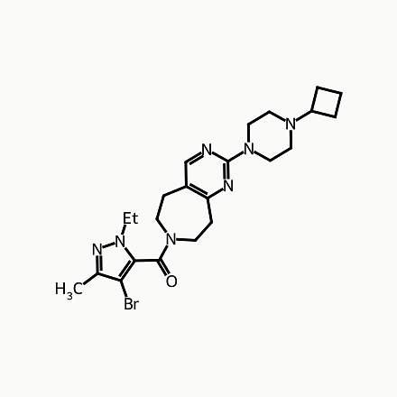 CCn1nc(C)c(Br)c1C(=O)N1CCc2cnc(N3CCN(C4CCC4)CC3)nc2CC1